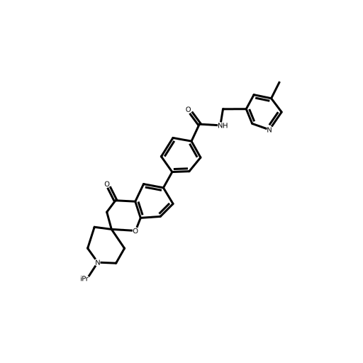 Cc1cncc(CNC(=O)c2ccc(-c3ccc4c(c3)C(=O)CC3(CCN(C(C)C)CC3)O4)cc2)c1